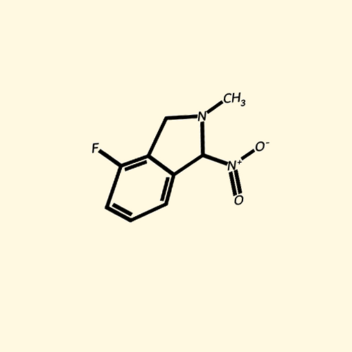 CN1Cc2c(F)cccc2C1[N+](=O)[O-]